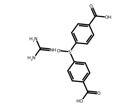 N=C(N)N.O=C(O)c1ccc([S+]([O-])c2ccc(C(=O)O)cc2)cc1